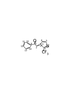 O=C(C=S1C=CN=C1C(F)(F)F)c1ccccc1